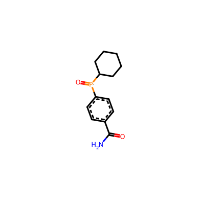 NC(=O)c1ccc([P](=O)C2CCCCC2)cc1